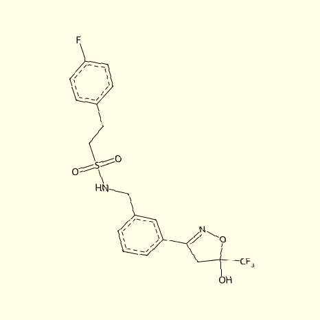 O=S(=O)(CCc1ccc(F)cc1)NCc1cccc(C2=NOC(O)(C(F)(F)F)C2)c1